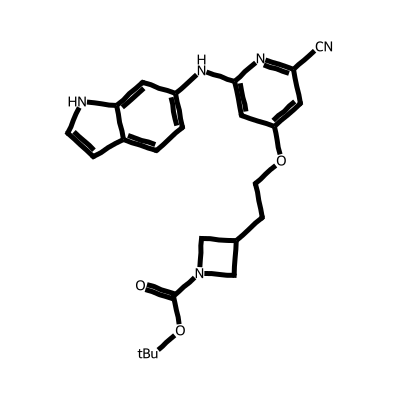 CC(C)(C)OC(=O)N1CC(CCOc2cc(C#N)nc(Nc3ccc4cc[nH]c4c3)c2)C1